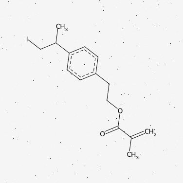 C=C(C)C(=O)OCCc1ccc(C(C)CI)cc1